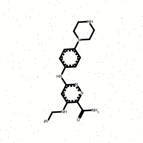 CC(C)CNc1cc(Nc2ccc(N3CCNCC3)cc2)nnc1C(N)=O